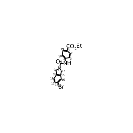 CCOC(=O)c1ccc(NC(=O)N2Cc3ccc(Br)cc3C2)cc1